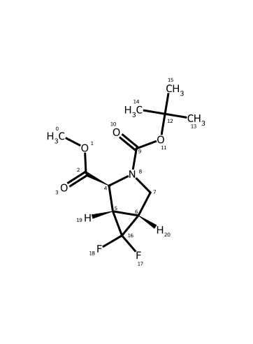 COC(=O)[C@@H]1[C@@H]2[C@H](CN1C(=O)OC(C)(C)C)C2(F)F